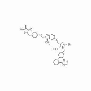 CCCc1nc(COc2ccc3nc(COc4ccc(CC5SC(=O)NC5=O)cc4)n(C)c3c2)c(C(=O)O)n1Cc1ccc(-c2ccccc2-c2nnn[nH]2)cc1